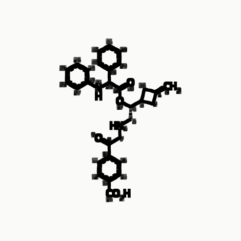 C=C1CC([C@H](CNCC(=O)c2ccc(C(=O)O)cc2)OC(=O)C(Nc2ccccc2)c2ccccc2)C1